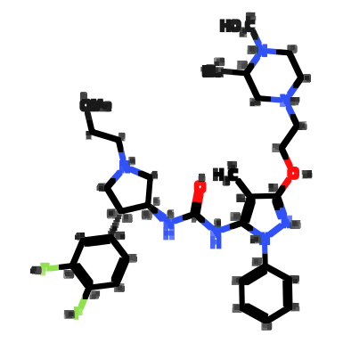 COCCN1C[C@@H](NC(=O)Nc2c(C)c(OCCN3CCN(C(=O)O)C(C(C)(C)C)C3)nn2-c2ccccc2)[C@H](c2ccc(F)c(F)c2)C1